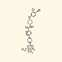 CC(C)(C)OC(=O)N1CCN(c2ccc(C(=O)NC3CCC(Oc4ccc(C#N)c(Cl)c4)CC3)nn2)CC1